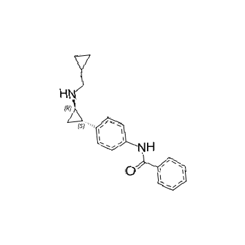 O=C(Nc1ccc([C@@H]2C[C@H]2NCC2CC2)cc1)c1ccccc1